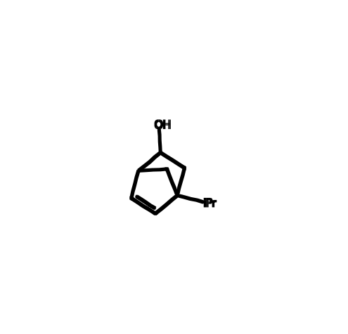 CC(C)C12C=CC(C1)C(O)C2